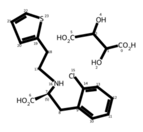 O=C(O)C(O)C(O)C(=O)O.O=C(O)[C@H](Cc1ccccc1Cl)NCCc1cccs1